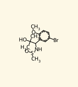 COc1ccc(Br)cc1C(N[S+](C)[O-])C(C)(C)O